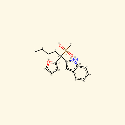 CCCCC(c1cc2ccccc2[nH]1)(c1ccco1)S(C)(=O)=O